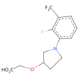 O=C(O)COC1CCN(c2cccc(C(F)(F)F)c2F)C1